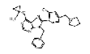 CC1(Oc2ncnc3c2nc(-c2ccc(CN4CCCC4)cc2Cl)n3Cc2ccccc2)CC1